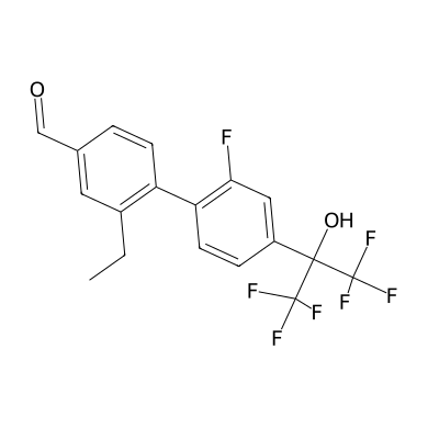 CCc1cc(C=O)ccc1-c1ccc(C(O)(C(F)(F)F)C(F)(F)F)cc1F